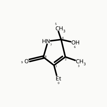 CCC1=C(C)C(C)(O)NC1=O